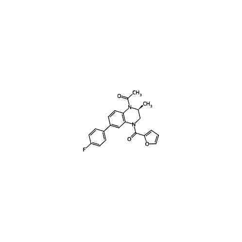 CC(=O)N1c2ccc(-c3ccc(F)cc3)cc2N(C(=O)c2ccco2)C[C@@H]1C